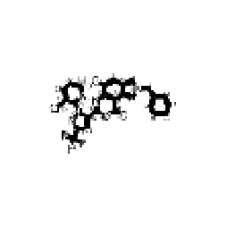 Cc1cc2cn(Cc3ccccc3)nc2c2c(=O)oc(-c3cc(C(F)(F)F)nn3-c3ncccc3Cl)nc12